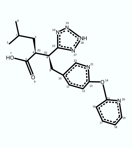 CC(C)C[C@H](C(=O)O)[C@H](Cc1ccc(Oc2ccccn2)nc1)c1nn[nH]n1